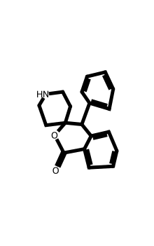 O=C1OC2(CCNCC2)C(c2ccccc2)c2ccccc21